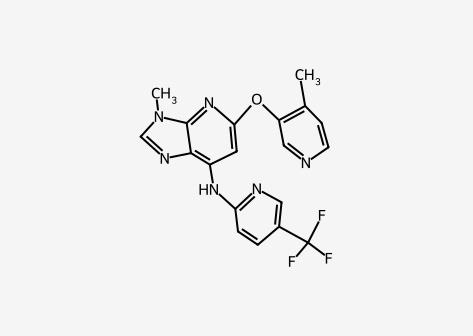 Cc1ccncc1Oc1cc(Nc2ccc(C(F)(F)F)cn2)c2ncn(C)c2n1